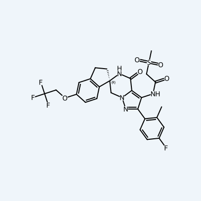 Cc1cc(F)ccc1-c1nn2c(c1NC(=O)CS(C)(=O)=O)C(=O)N[C@@]1(CCc3cc(OCC(F)(F)F)ccc31)C2